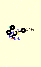 COc1ccc(-c2ncc(Cc3nc4c(-c5ccccc5F)cccc4nc3C(N)=O)s2)cc1